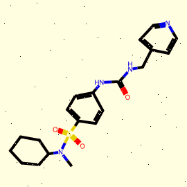 CN(C1CCCCC1)S(=O)(=O)c1ccc(NC(=O)NCc2ccncc2)cc1